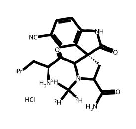 Cl.[2H]C([2H])([2H])N1C(C(N)=O)C[C@]2(C(=O)Nc3ccc(C#N)cc32)C1C(=O)[C@@H](N)CC(C)C